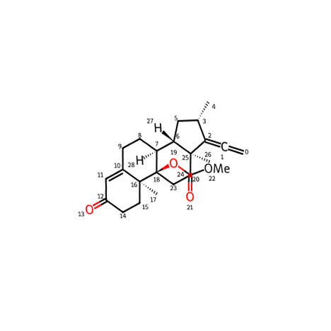 C=C=C1[C@@H](C)C[C@H]2[C@@H]3CCC4=CC(=O)CC[C@]4(C)[C@@]3(OC(=O)OC)CC[C@]12C